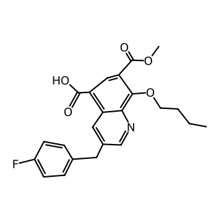 CCCCOc1c(C(=O)OC)cc(C(=O)O)c2cc(Cc3ccc(F)cc3)cnc12